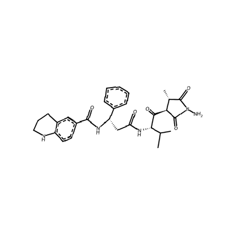 CC(C)[C@H](NC(=O)C[C@H](NC(=O)c1ccc2c(c1)CCCN2)c1ccccc1)C(=O)[C@@H]1C(=O)N(N)C(=O)[C@H]1C